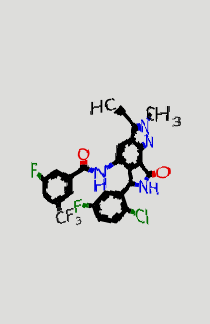 C#Cc1c2cc(NC(=O)c3cc(F)cc(C(F)(F)F)c3)c3c(c2nn1C)C(=O)NC3c1cc(F)ccc1Cl